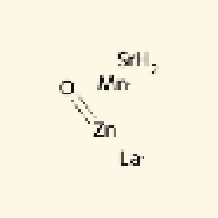 [La].[Mn].[O]=[Zn].[SrH2]